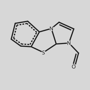 O=CN1C=CN2c3ccccc3SC12